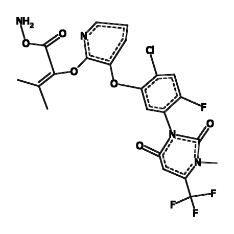 CC(C)=C(Oc1ncccc1Oc1cc(-n2c(=O)cc(C(F)(F)F)n(C)c2=O)c(F)cc1Cl)C(=O)ON